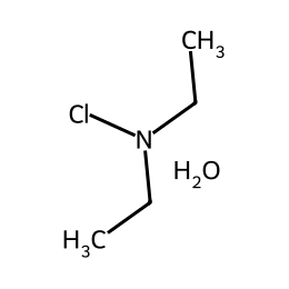 CCN(Cl)CC.O